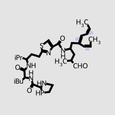 C\C=C/C=C(\C=C/C)CC(CC(C)C=O)NC(=O)c1csc(CCC(NC(=O)C(NC(=O)C2NCCP2)C(C)CC)C(C)C)n1